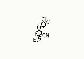 CCSc1ncc(Oc2ccc(Cl)c(Cl)c2)cc1C#N